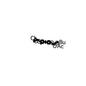 C=C(C)O[C@@H](CCl)COc1ccc(C(C)(C)c2ccc(OC[C@@H](COCCCC)OC(C)=O)cc2)cc1C